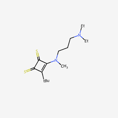 CCN(CC)CCCN(C)c1c(C(C)(C)C)c(=S)c1=S